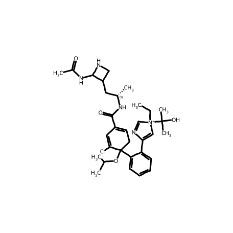 CC[N+]1(C(C)(C)O)C=NC(c2ccccc2C2(OC(C)C)CC=C(C(=O)N[C@@H](C)CC3CNC3NC(C)=O)C=C2Cl)=C1